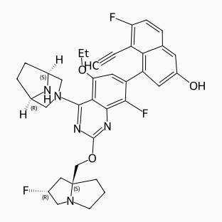 C#Cc1c(F)ccc2cc(O)cc(-c3cc(OCC)c4c(N5C[C@H]6CC[C@@H](C5)N6)nc(OC[C@@]56CCCN5C[C@H](F)C6)nc4c3F)c12